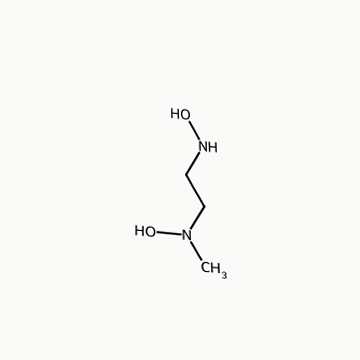 CN(O)CCNO